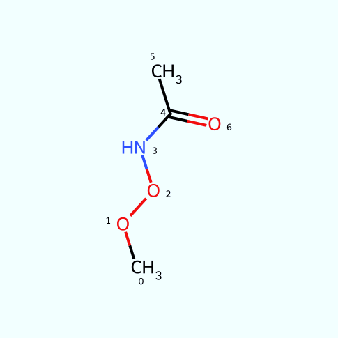 COONC(C)=O